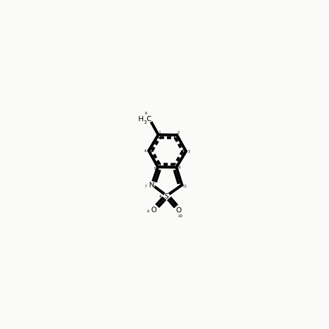 Cc1ccc2c(c1)=NS(=O)(=O)C=2